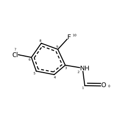 O=CNc1ccc(Cl)cc1F